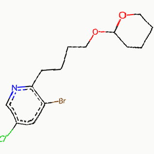 Clc1cnc(CCCCOC2CCCCO2)c(Br)c1